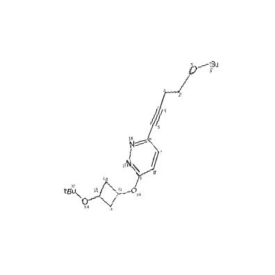 CC(C)(C)OCCC#Cc1ccc(OC2CC(OC(C)(C)C)C2)nn1